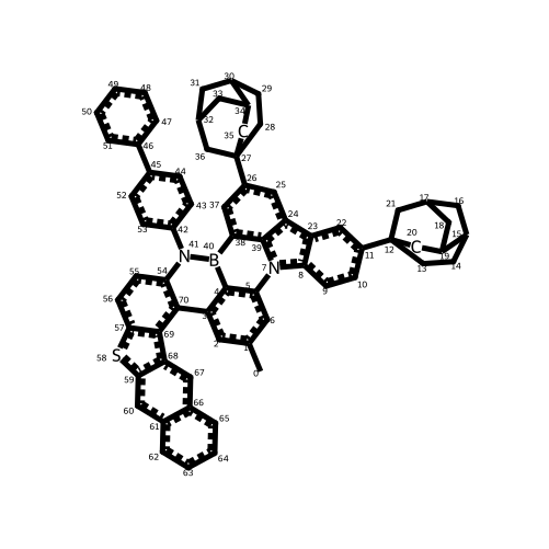 Cc1cc2c3c(c1)-n1c4ccc(C56CCC7CC(CC7C5)C6)cc4c4cc(C56CCC7CC(CC7C5)C6)cc(c41)B3N(c1ccc(-c3ccccc3)cc1)c1ccc3sc4cc5ccccc5cc4c3c1-2